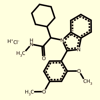 CNC(=O)C(C1CCCCC1)n1c(-c2ccc(OC)cc2OC)nc2ccccc21.[Cl-].[H+]